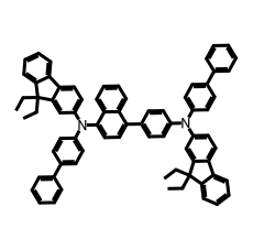 CCC1(CC)c2ccccc2-c2ccc(N(c3ccc(-c4ccccc4)cc3)c3ccc(-c4ccc(N(c5ccc(-c6ccccc6)cc5)c5ccc6c(c5)C(CC)(CC)c5ccccc5-6)c5ccccc45)cc3)cc21